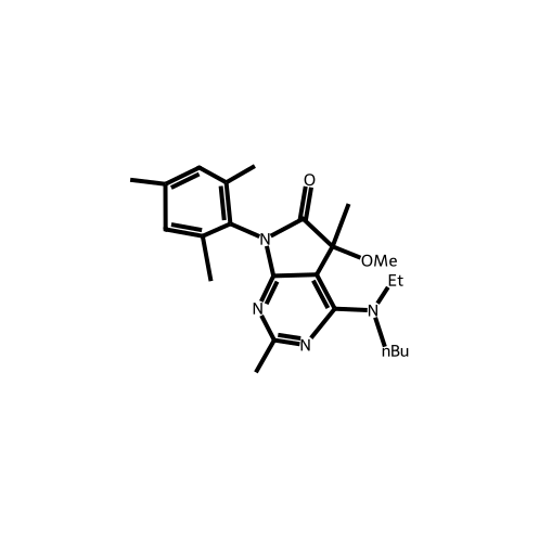 CCCCN(CC)c1nc(C)nc2c1C(C)(OC)C(=O)N2c1c(C)cc(C)cc1C